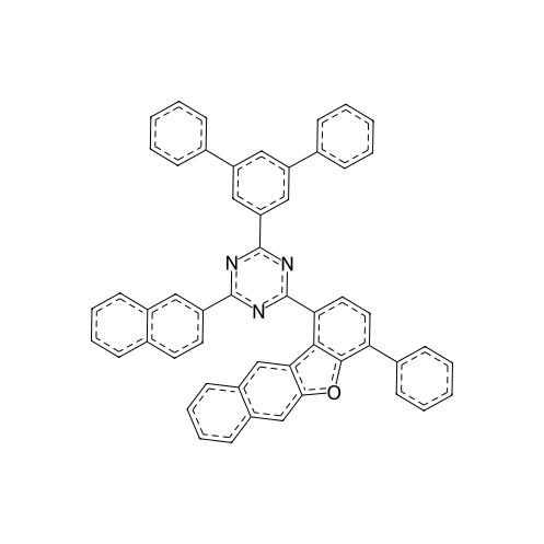 c1ccc(-c2cc(-c3ccccc3)cc(-c3nc(-c4ccc5ccccc5c4)nc(-c4ccc(-c5ccccc5)c5oc6cc7ccccc7cc6c45)n3)c2)cc1